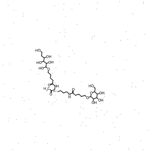 CC(=O)[C@@H](CCCCNC(=O)CCCCOC1OC(CO)C(O)C(O)C1O)NC(=O)CCCCOC(O)C(O)C(O)C(O)CCO